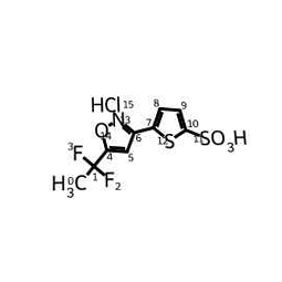 CC(F)(F)c1cc(-c2ccc(S(=O)(=O)O)s2)no1.Cl